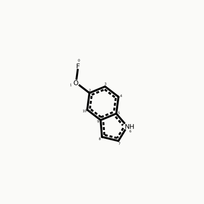 FOc1ccc2[nH]ccc2c1